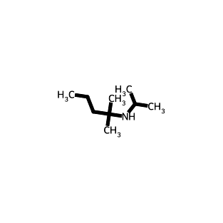 CCCC(C)(C)NC(C)C